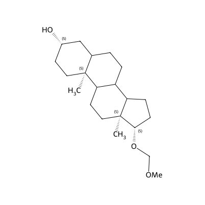 COCO[C@H]1CCC2C3CCC4C[C@@H](O)CC[C@]4(C)C3CC[C@@]21C